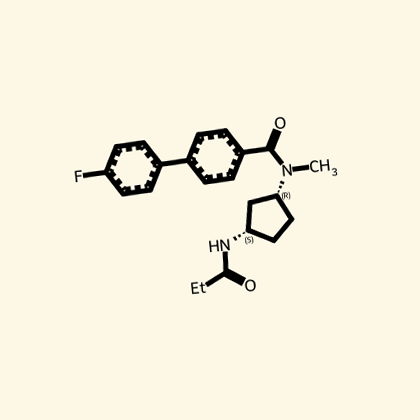 CCC(=O)N[C@H]1CC[C@@H](N(C)C(=O)c2ccc(-c3ccc(F)cc3)cc2)C1